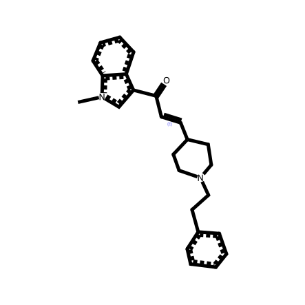 Cn1cc(C(=O)/C=C/C2CCN(CCc3ccccc3)CC2)c2ccccc21